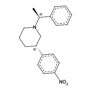 C[C@@H](c1ccccc1)N1CCC[C@@H](c2ccc([N+](=O)[O-])cc2)C1